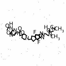 CN(C)CC(=O)N(C)CCn1nc2c(F)c3c(c(F)c2n1)CC(CN1CCC2(CC1)CN(c1cnc4c(n1)NC(=O)CO4)C(=O)O2)C3